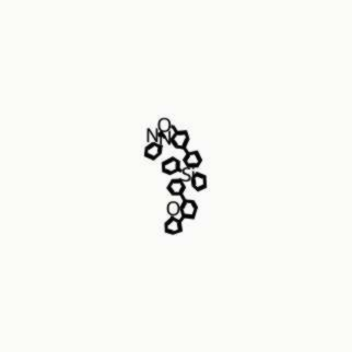 c1ccc([Si](c2ccccc2)(c2cccc(-c3ccc4c(c3)-n3c(nc5ccccc53)OC4)c2)c2cccc(-c3cccc4c3oc3ccccc34)c2)cc1